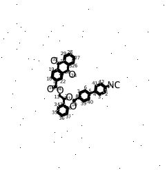 [C-]#[N+]c1ccc(-c2ccc(C(=O)OC(COC(=O)c3ccc4c(c3)C(=O)c3ccccc3C4=O)c3ccccc3)cc2)cc1